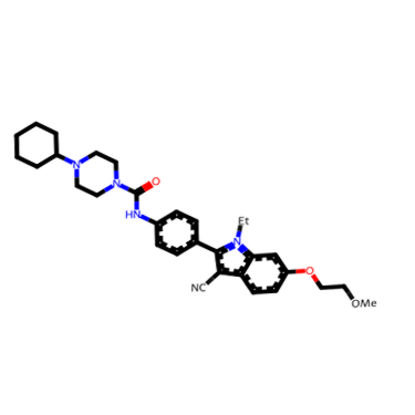 CCn1c(-c2ccc(NC(=O)N3CCN(C4CCCCC4)CC3)cc2)c(C#N)c2ccc(OCCOC)cc21